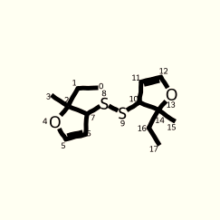 CCC1(C)OC=CC1SSC1C=COC1(C)CC